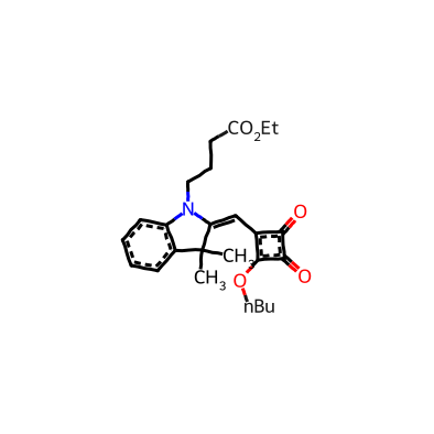 CCCCOc1c(C=C2N(CCCC(=O)OCC)c3ccccc3C2(C)C)c(=O)c1=O